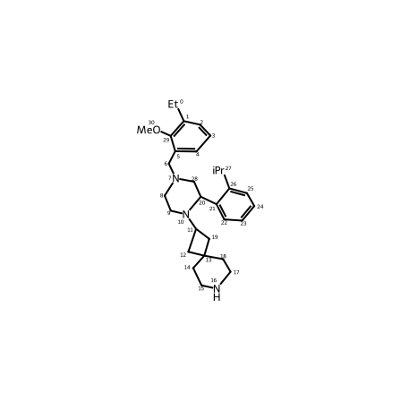 CCc1cccc(CN2CCN(C3CC4(CCNCC4)C3)C(c3ccccc3C(C)C)C2)c1OC